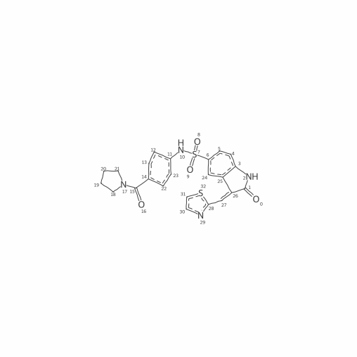 O=C1Nc2ccc(S(=O)(=O)Nc3ccc(C(=O)N4CCCC4)cc3)cc2/C1=C\c1nccs1